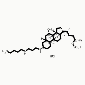 CC(C)[C@@H](CC[C@@H](C)[C@H]1CC[C@H]2[C@@H]3[C@H](O)C[C@H]4C[C@@H](NCCCNCCCCN)CC[C@]4(C)[C@H]3CC[C@]12C)OS(=O)(=O)O.Cl